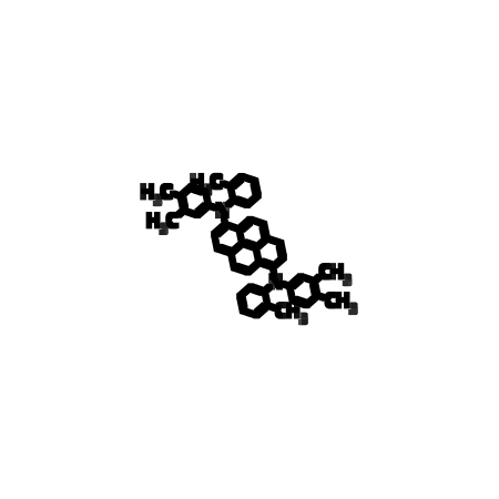 Cc1ccc(N(c2ccccc2C)c2ccc3ccc4c(N(c5ccc(C)c(C)c5)c5ccccc5C)ccc5ccc2c3c54)cc1C